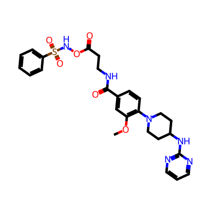 COc1cc(C(=O)NCCC(=O)ONS(=O)(=O)c2ccccc2)ccc1N1CCC(Nc2ncccn2)CC1